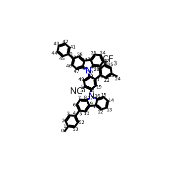 Cc1ccc(-c2ccc3c(c2)c2ccccc2n3-c2cc(-c3cc(C)cc(C(F)(F)F)c3)c(-n3c4ccccc4c4cc(-c5ccccc5)ccc43)cc2C#N)cc1